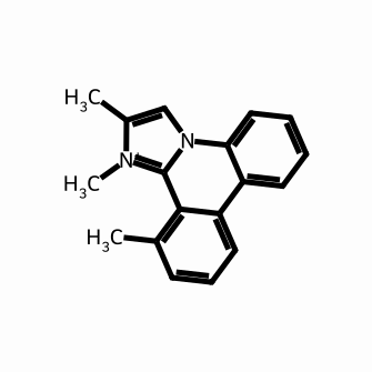 Cc1cccc2c3ccccc3n3cc(C)[n+](C)c3c12